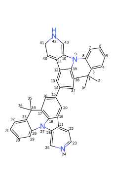 CC1(C)c2ccccc2-n2c3c(c4cc(-c5cc6c7c(c5)c5ccncc5n7-c5ccccc5C6(C)C)cc1c42)=CCNC=3